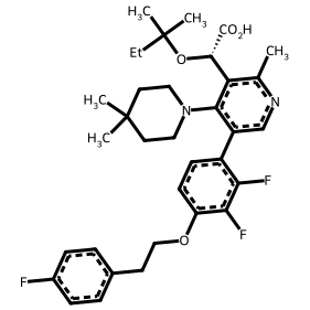 CCC(C)(C)O[C@H](C(=O)O)c1c(C)ncc(-c2ccc(OCCc3ccc(F)cc3)c(F)c2F)c1N1CCC(C)(C)CC1